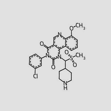 COc1cccc2c1ncc1c(=O)n(-c3cccc(Cl)c3)c(=O)n(C(C3CCNCC3)S(C)(=O)=O)c12